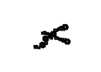 CCCCn1c(-c2cccc(Oc3ccc(C(C)(C)C)cc3)c2)nc2c(OCCNCC3CCCCC3)cc(OCCNCC3CCCCC3)cc21